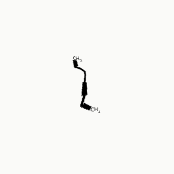 C=CC#C[CH]C=C